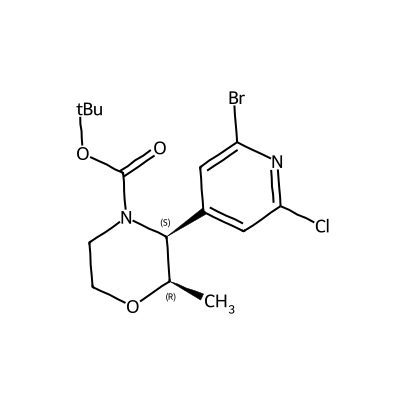 C[C@H]1OCCN(C(=O)OC(C)(C)C)[C@H]1c1cc(Cl)nc(Br)c1